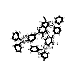 Cc1cc(O[Si](c2ccccc2)(c2ccccc2)C(C)(C)C)c2c(=O)c(OC3OC(C)C(O)C(O)C3O[Si](c3ccccc3)(c3ccccc3)C(C)(C)C)c(-c3ccc(O[Si](c4ccccc4)(c4ccccc4)C(C)(C)C)cc3)oc2c1